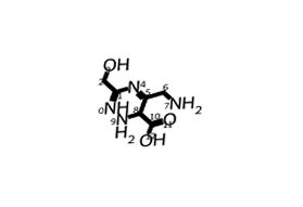 N=C(CO)N=C(CN)C(N)C(=O)O